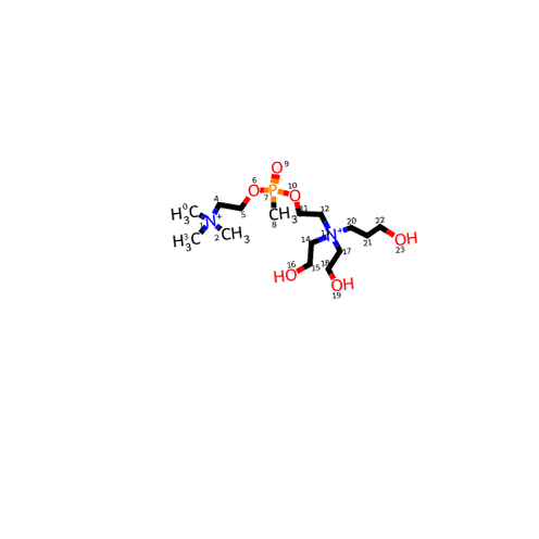 C[N+](C)(C)CCOP(C)(=O)OCC[N+](CCO)(CCO)CCCO